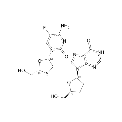 Nc1nc(=O)n([C@@H]2CS[C@H](CO)O2)cc1F.O=c1[nH]cnc2c1ncn2[C@H]1CC[C@@H](CO)O1